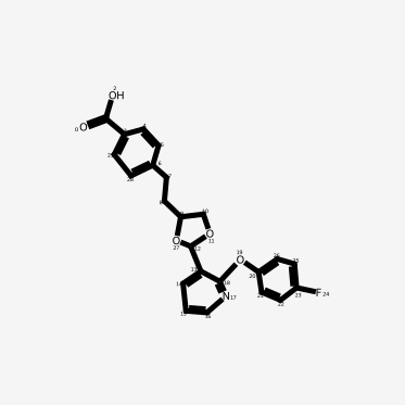 O=C(O)c1ccc(CCC2COC(c3cccnc3Oc3ccc(F)cc3)O2)cc1